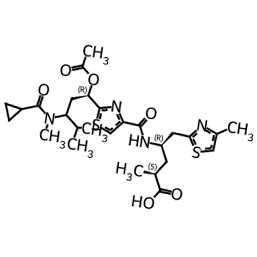 CC(=O)O[C@H](CC(C(C)C)N(C)C(=O)C1CC1)c1nc(C(=O)N[C@@H](Cc2nc(C)cs2)C[C@H](C)C(=O)O)cs1